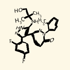 Cc1ccccc1-n1nc(-c2c(-c3ccc(F)cc3F)n[nH]c2NC(C)(C)CO)ccc1=O